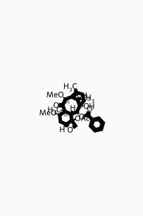 CO[C@H]1C(=O)[C@]2(C)[C@@H](OC)C[C@H]3OC[C@@]3(OC(C)=O)[C@H]2[C@H](OC(=O)c2ccccc2)[C@]2(O)C[CH]C(C)=C1C2(C)C